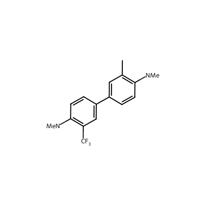 CNc1ccc(-c2ccc(NC)c(C(F)(F)F)c2)cc1C